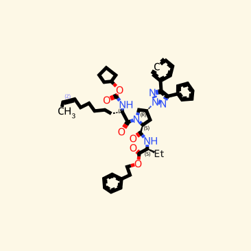 C/C=C\CCCCC[C@H](NC(=O)OC1CCCC1)C(=O)N1C[C@H](n2nc(-c3ccccc3)c(-c3ccccc3)n2)C[C@H]1C(=O)N[C@@H](CC)C(=O)OCCc1ccccc1